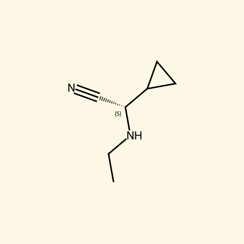 CCN[C@H](C#N)C1CC1